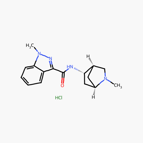 CN1C[C@H]2C[C@@H]1C[C@@H]2NC(=O)c1nn(C)c2ccccc12.Cl